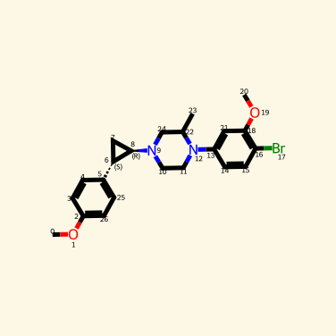 COc1ccc([C@@H]2C[C@H]2N2CCN(c3ccc(Br)c(OC)c3)C(C)C2)cc1